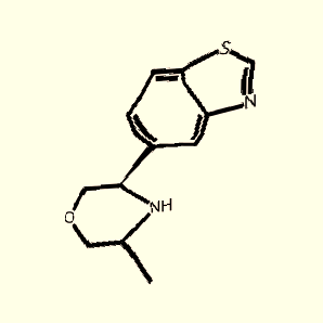 CC1COC[C@@H](c2ccc3scnc3c2)N1